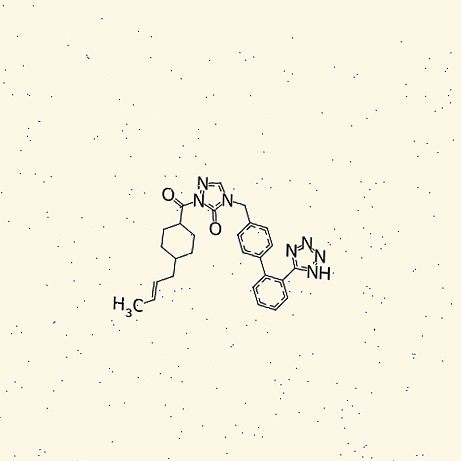 CC=CCC1CCC(C(=O)n2ncn(Cc3ccc(-c4ccccc4-c4nnn[nH]4)cc3)c2=O)CC1